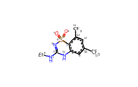 CCNC1=NS(=O)(=O)c2c(cc(C(F)(F)F)cc2C(F)(F)F)N1